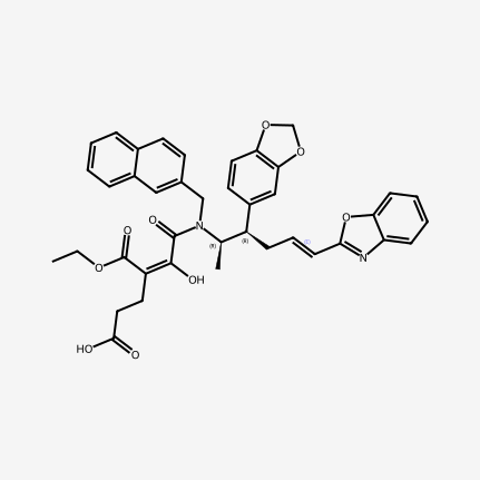 CCOC(=O)C(CCC(=O)O)=C(O)C(=O)N(Cc1ccc2ccccc2c1)[C@H](C)[C@H](C/C=C/c1nc2ccccc2o1)c1ccc2c(c1)OCO2